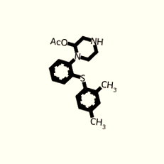 CC(=O)OC1CNCCN1c1ccccc1Sc1ccc(C)cc1C